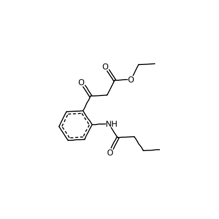 CCCC(=O)Nc1ccccc1C(=O)CC(=O)OCC